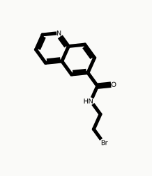 O=C(NCCBr)c1ccc2ncccc2c1